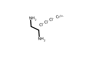 NCCN.[Cl-].[Cl-].[Cl-].[Cr+3]